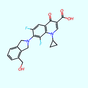 O=C(O)c1cn(C2CC2)c2c(F)c(N3Cc4cccc(CO)c4C3)c(F)cc2c1=O